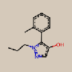 CCCn1ncc(O)c1-c1ccccc1C